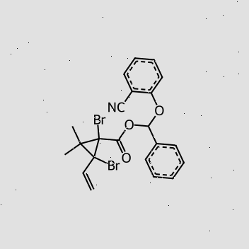 C=CC1(Br)C(C)(C)C1(Br)C(=O)OC(Oc1ccccc1C#N)c1ccccc1